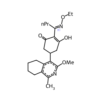 CCC/C(=N\OCC)C1=C(O)CC(c2c(OC)nc(C)c3c2CCCC3)CC1=O